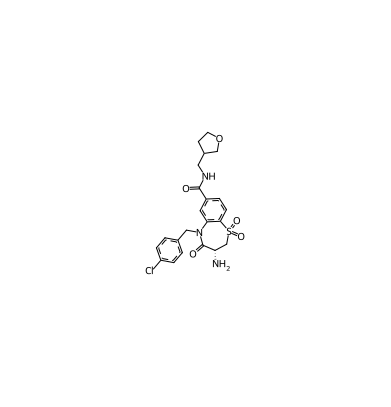 N[C@H]1CS(=O)(=O)c2ccc(C(=O)NCC3CCOC3)cc2N(Cc2ccc(Cl)cc2)C1=O